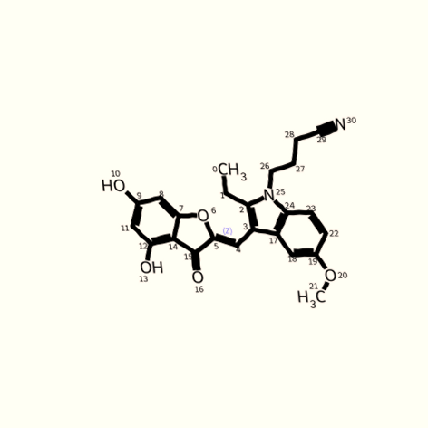 CCc1c(/C=C2\Oc3cc(O)cc(O)c3C2=O)c2cc(OC)ccc2n1CCCC#N